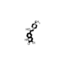 CCc1cc2cc(C(O)CN3CCN(C)CC3)ccc2[nH]c1=O